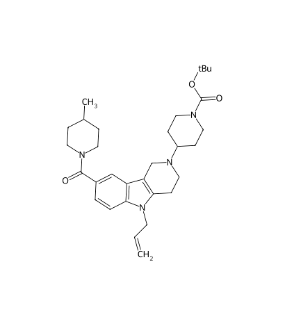 C=CCn1c2c(c3cc(C(=O)N4CCC(C)CC4)ccc31)CN(C1CCN(C(=O)OC(C)(C)C)CC1)CC2